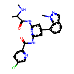 CNC(C)C(=O)Nc1cc(-c2cccc3cnn(C)c23)cc(NC(=O)c2ccc(Cl)cn2)n1